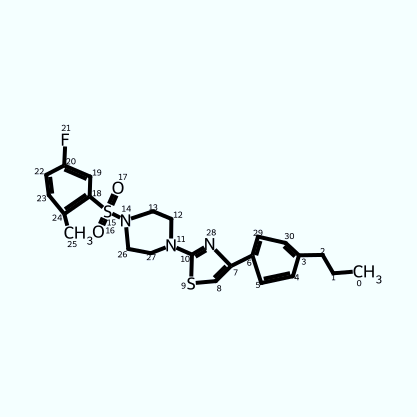 CCCc1ccc(-c2csc(N3CCN(S(=O)(=O)c4cc(F)ccc4C)CC3)n2)cc1